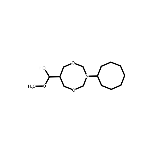 COC(O)C1COCN(C2CCCCCCC2)COC1